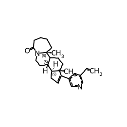 C=Cc1cncc(C2=CC[C@H]3[C@@H]4CCN5C(=O)CCCC[C@]5(C)C4CC[C@]23C)c1